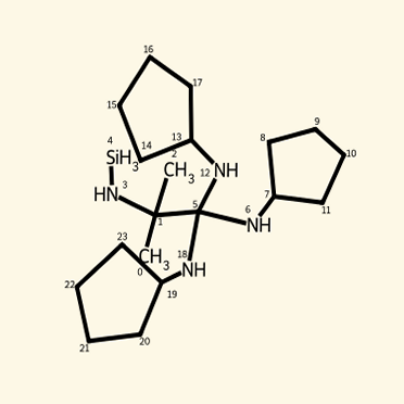 CC(C)(N[SiH3])C(NC1CCCC1)(NC1CCCC1)NC1CCCC1